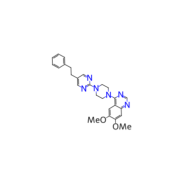 COc1cc2ncnc(N3CCN(c4ncc(CCc5ccccc5)cn4)CC3)c2cc1OC